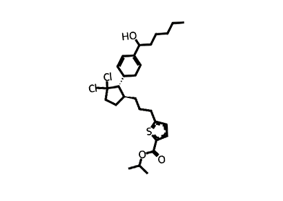 CCCCCC(O)C1=CCC([C@@H]2[C@@H](CCCc3ccc(C(=O)OC(C)C)s3)CCC2(Cl)Cl)C=C1